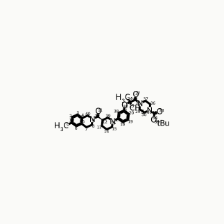 Cc1ccc2c(c1)CCN(C(=O)[C@@H]1CCCN(c3cccc(OC(C)(C)C(=O)N4CCN(C(=O)OC(C)(C)C)CC4)c3)C1)C2